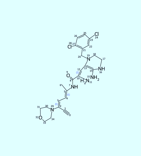 C#C/C(=C\C=C(/C)NC(=O)/C(N)=C/C1=C(N)NCCN1Cc1cc(Cl)ccc1Cl)N1CCOCC1